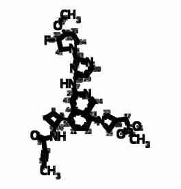 CC#CC(=O)N[C@H]1CC[C@H]1c1ccc(N2CC(CS(C)(=O)=O)C2)c2cnc(Nc3ccnc(N4CC[C@@H](OC)[C@@H](F)C4)n3)cc12